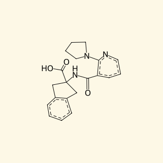 O=C(NC1(C(=O)O)Cc2ccccc2C1)c1cccnc1N1CCCC1